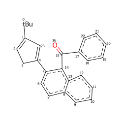 CC(C)(C)C1=CCC(c2ccc3ccccc3c2C(=O)c2ccccc2)=C1